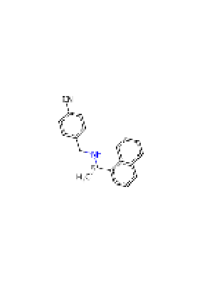 C[C@H](NCc1ccc(C#N)cc1)c1cccc2ccccc12